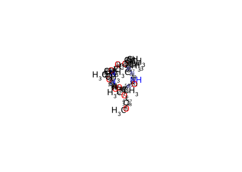 COc1ccc(COC[C@@H](C)[C@H]2OC(=O)[C@H]3CCCN3C(=O)c3nc(oc3[Si](C)(C)C)CC(=O)CC(O[Si](C)(C)C(C)(C)C)/C=C(C)/C=C/CNC(=O)/C=C/[C@H]2C)cc1